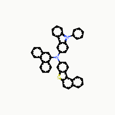 c1ccc(-n2c3ccccc3c3cc(N(c4ccc5c(c4)sc4ccc6ccccc6c45)c4cc5ccccc5c5ccccc45)ccc32)cc1